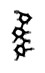 Cc1ccnc(-c2ccc(F)c(C(=O)c3ccc(F)cc3F)c2F)c1